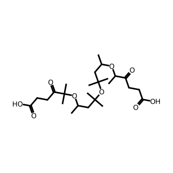 CC(CC(C)(C)OC(C)(C)CC(C)OC(C)(C)C(=O)CCC(=O)O)OC(C)C(=O)CCC(=O)O